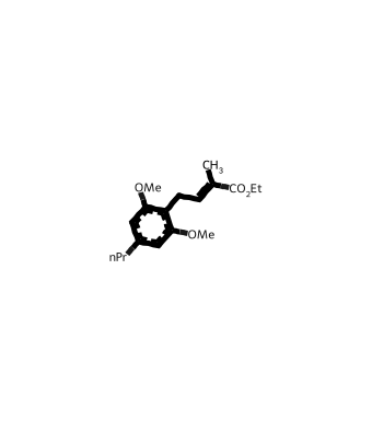 CCCc1cc(OC)c(CC=C(C)C(=O)OCC)c(OC)c1